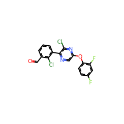 O=Cc1cccc(-c2ncc(Oc3ccc(F)cc3F)nc2Cl)c1Cl